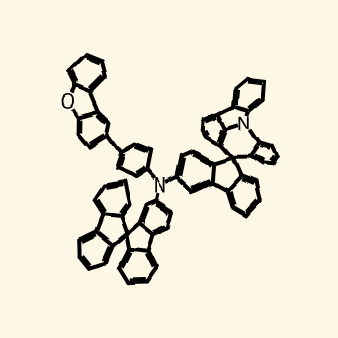 c1ccc2c(c1)-c1ccccc1C21c2ccccc2-c2ccc(N(c3ccc(-c4ccc5oc6ccccc6c5c4)cc3)c3ccc4c(c3)-c3ccccc3C43c4ccccc4-n4c5ccccc5c5cccc3c54)cc21